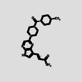 C[C@H]1CC[C@@H](C(=O)N2CCN(c3cnc4[nH]cc(/C=C/C(N)=O)c4n3)CC2)CC1